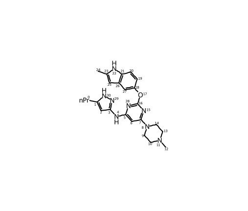 CCCc1cc(Nc2cc(N3CCN(C)CC3)nc(Oc3ccc4[nH]c(C)cc4c3)n2)n[nH]1